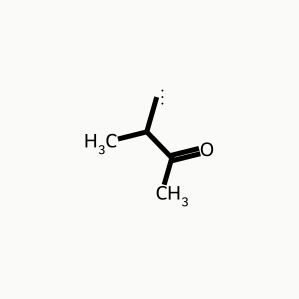 [C]C(C)C(C)=O